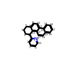 c1ccc(C2CCCc3ccc4c(ccc5ccccc54)c32)nc1